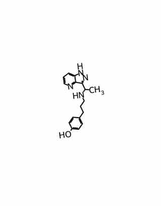 CC(NCCCc1ccc(O)cc1)c1n[nH]c2cccnc12